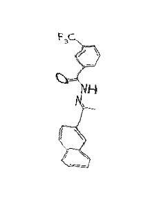 CC(=NNC(=O)c1cccc(C(F)(F)F)c1)c1ccc2ccccc2c1